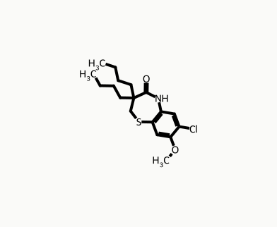 CCCCC1(CCCC)CSc2cc(OC)c(Cl)cc2NC1=O